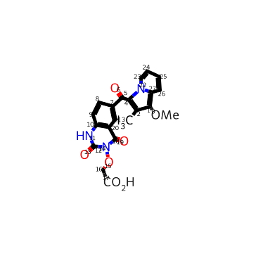 COc1c(C)c(C(=O)c2ccc3[nH]c(=O)n(OCC(=O)O)c(=O)c3c2)n2ccccc12